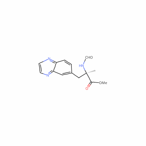 COC(=O)[C@@](C)(Cc1ccc2nccnc2c1)NC=O